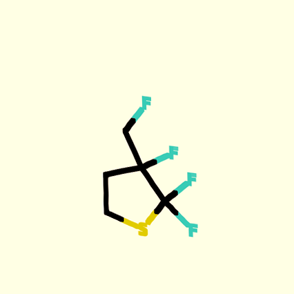 FCC1(F)CCSC1(F)F